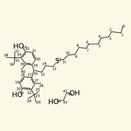 CCCCCCCCCCCCSCCCC(c1ccc(O)c(C(C)(C)C)c1C)c1ccc(O)c(C(C)(C)C)c1C.OCCO